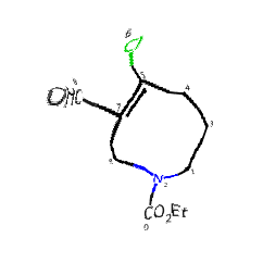 CCOC(=O)N1CCCC(Cl)=C(C=O)C1